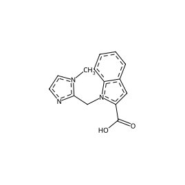 Cn1ccnc1Cn1c(C(=O)O)cc2ccccc21